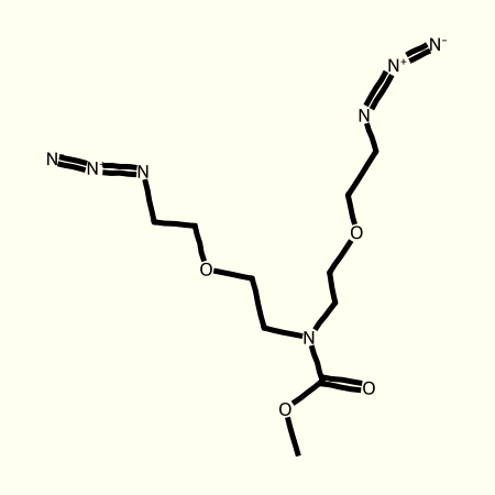 COC(=O)N(CCOCCN=[N+]=[N-])CCOCCN=[N+]=[N-]